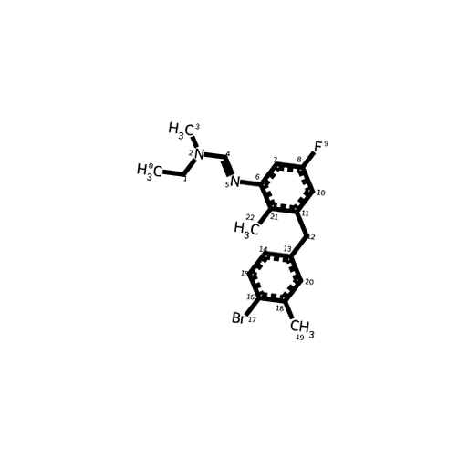 CCN(C)C=Nc1cc(F)cc(Cc2ccc(Br)c(C)c2)c1C